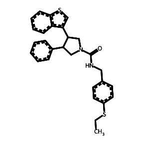 CCSc1ccc(CNC(=O)N2CC(c3ccccc3)C(c3csc4ccccc34)C2)cc1